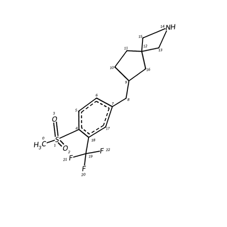 CS(=O)(=O)c1ccc(CC2CCC3(CNC3)C2)cc1C(F)(F)F